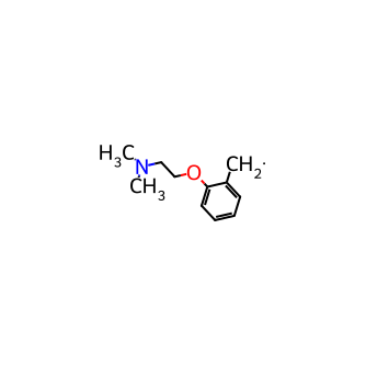 [CH2]c1ccccc1OCCN(C)C